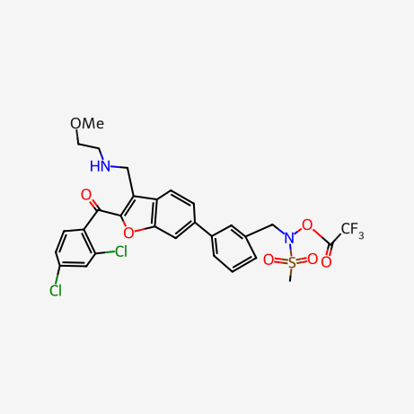 COCCNCc1c(C(=O)c2ccc(Cl)cc2Cl)oc2cc(-c3cccc(CN(OC(=O)C(F)(F)F)S(C)(=O)=O)c3)ccc12